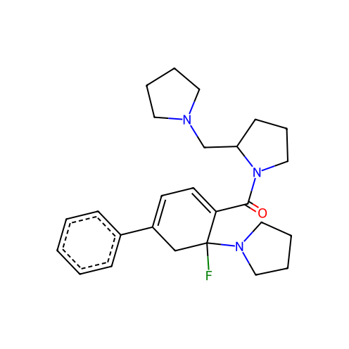 O=C(C1=CC=C(c2ccccc2)CC1(F)N1CCCC1)N1CCCC1CN1CCCC1